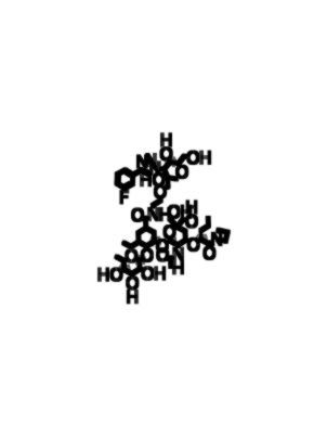 CCC[C@H](OC1CC(CO)(CO)O[C@@H](O[C@@H]2CC(C(=O)NCCOCC3(O)COC(CO)[C@@H](O)C3n3cc(-c4cccc(F)c4)nn3)CC(CC)C2O[C@@H]2OC(C)[C@@H](O)C(O)C2O)C1NC(C)=O)C(=O)N1CCC1